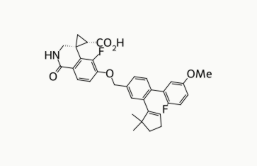 COc1ccc(F)c(-c2ccc(COc3ccc4c(c3F)[C@@]3(CNC4=O)C[C@@H]3C(=O)O)cc2C2=CCCC2(C)C)c1